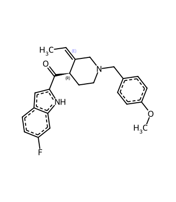 C/C=C1/CN(Cc2ccc(OC)cc2)CC[C@H]1C(=O)c1cc2ccc(F)cc2[nH]1